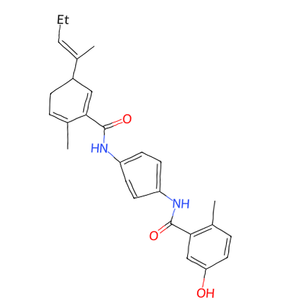 CCC=C(C)C1C=C(C(=O)Nc2ccc(NC(=O)c3cc(O)ccc3C)cc2)C(C)=CC1